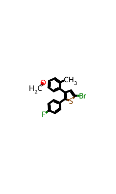 C=O.Cc1ccccc1-c1cc(Br)sc1-c1ccc(F)cc1